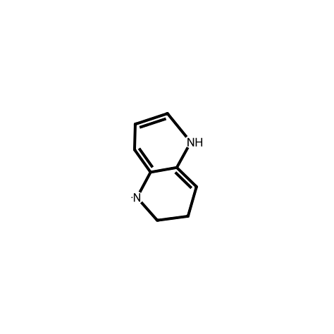 C1=CNC2=CCC[N]C2=C1